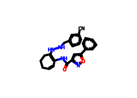 N#Cc1cccc(CNNC2=C(NC(=O)c3cc(-c4ccccc4)on3)C=CCCC2)c1